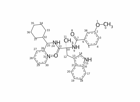 COc1cccc(C(=O)N[C@@](C)(Cc2c[nH]c3ccccc23)C(=O)NC(c2ccccn2)C2CCCCC2)c1